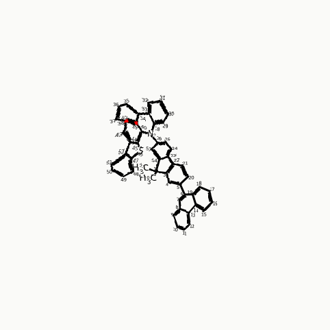 CC1(C)c2cc(-c3cc4ccccc4c4ccccc34)ccc2-c2ccc(N(c3ccccc3-c3ccccc3)c3cccc4c3sc3ccccc34)cc21